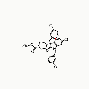 CC(C)(C)OC(=O)N1CCC(C2(Cc3cccc(Cl)c3)C(=O)N(Cc3cccc(Cl)c3)c3cc(Cl)ccc32)CC1